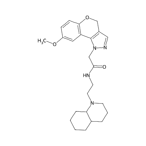 COc1ccc2c(c1)-c1c(cnn1CC(=O)NCCN1CCCC3CCCCC31)CO2